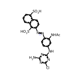 CC(=O)Nc1cc(Nc2nc(N)nc(Cl)n2)ccc1/N=N/c1ccc2c(S(=O)(=O)O)cccc2c1S(=O)(=O)O